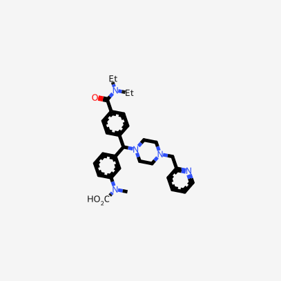 CCN(CC)C(=O)c1ccc(C(c2cccc(N(C)C(=O)O)c2)N2CCN(Cc3ccccn3)CC2)cc1